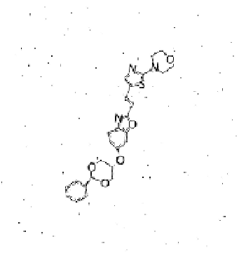 C(=C\c1cnc(N2CCOCC2)s1)/c1nc2ccc(O[C@H]3CO[C@H](c4ccccc4)OC3)cc2o1